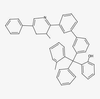 Cc1ccccc1C(c1ccccc1)(c1cccc(-c2cccc(C3=NC=C(c4ccccc4)CC3C)c2)c1)c1ccccc1O